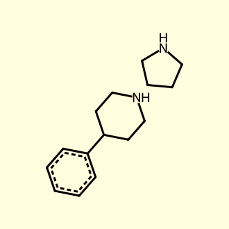 C1CCNC1.c1ccc(C2CCNCC2)cc1